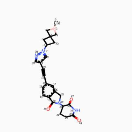 N#CB1CC2(C1)CC(n1cc(C#Cc3ccc4c(c3)CN(C3CCC(=O)NC3=O)C4=O)cn1)C2